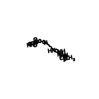 Cn1ncc(-c2nc(NC3CCC(NCCCCCCCN4CCC(c5ccc6c(c5)CN(C5CCC(=O)NC5=O)C6=O)CC4)CC3)ncc2Cl)c1CC1CC1